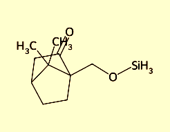 CC1(C)C2CCC1(CO[SiH3])C(=O)C2